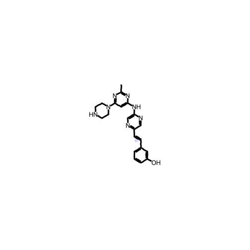 Cc1nc(Nc2cnc(/C=C/c3cccc(O)c3)cn2)cc(N2CCNCC2)n1